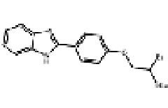 CCCCC(CC)COc1ccc(-c2nc3ccccc3[nH]2)cc1